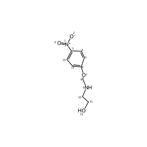 O=[N+]([O-])c1ccc(OCNCCO)cc1